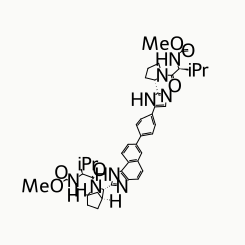 COC(=O)N[C@H](C(=O)N1CCC[C@H]1c1ncc(-c2ccc(-c3ccc4c(ccc5nc([C@@H]6[C@H]7CC[C@H](C7)N6C(=O)[C@@H](NC(=O)OC)C(C)C)[nH]c54)c3)cc2)[nH]1)C(C)C